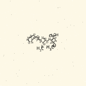 CCCc1cc(-c2cc3c(ccc4ccccc43)o2)ccc1C=Cc1cc(OC)ccc1C(=O)O